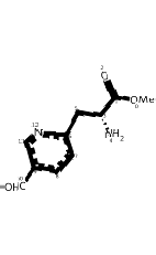 COC(=O)[C@H](N)Cc1ccc(C=O)cn1